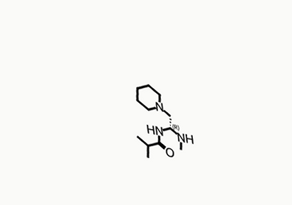 CN[C@@H](CN1CCCCC1)NC(=O)C(C)C